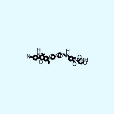 CCc1cc2c(cc1N1CCC(N3CCN(CCNc4ccc5c(c4)CN(C4CCC(=O)NC4=O)C5=O)CC3)CC1)C(C)(C)c1[nH]c3cc(C#N)ccc3c1C2=O